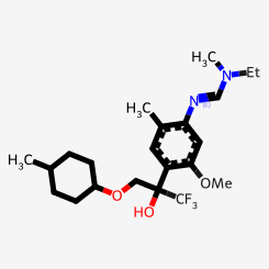 CCN(C)/C=N/c1cc(OC)c(C(O)(COC2CCC(C)CC2)C(F)(F)F)cc1C